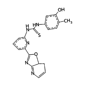 Cc1ccc(NC(=S)Nc2cccc(C3=NC4=NC=CCC4O3)n2)cc1O